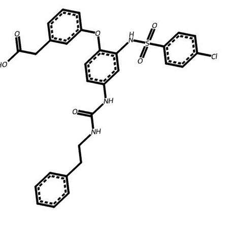 O=C(O)Cc1cccc(Oc2ccc(NC(=O)NCCc3ccccc3)cc2NS(=O)(=O)c2ccc(Cl)cc2)c1